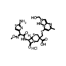 CON=C(C(=O)NC1C(=O)N2CC(CSC3=CC(C)=NC4=CN(CO)NN43)(C(=O)O)CS[C@H]12)c1csc(N)n1.Cl